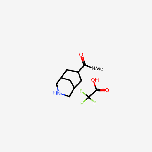 CNC(=O)C1CC2CNCC(C2)C1.O=C(O)C(F)(F)F